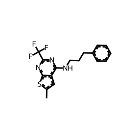 Cc1cc2c(NCCCc3ccccc3)nc(C(F)(F)F)nc2s1